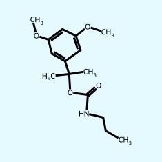 CCCNC(=O)OC(C)(C)c1cc(OC)cc(OC)c1